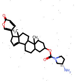 CC12CCC3C(CCC4CC(OC(=O)N5CC[C@H](N)C5)CCC43C)C1=CCC2c1ccc(=O)oc1